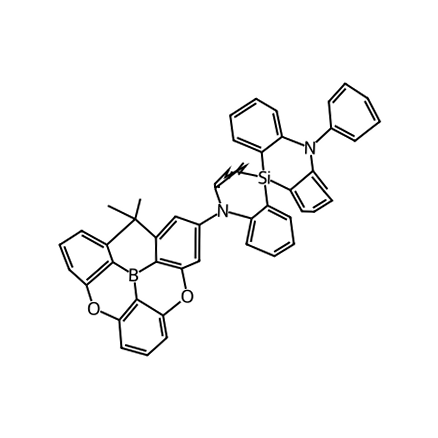 CC1(C)c2cccc3c2B2c4c(cccc4Oc4cc(N5c6ccccc6[Si]6(c7ccccc7N(c7ccccc7)c7ccccc76)c6ccccc65)cc1c42)O3